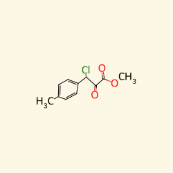 COC(=O)C(=O)C(Cl)c1ccc(C)cc1